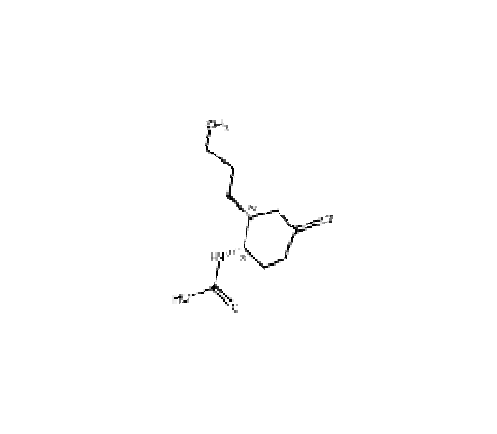 CCCC[C@H]1CC(=O)CC[C@@H]1NC(=O)O